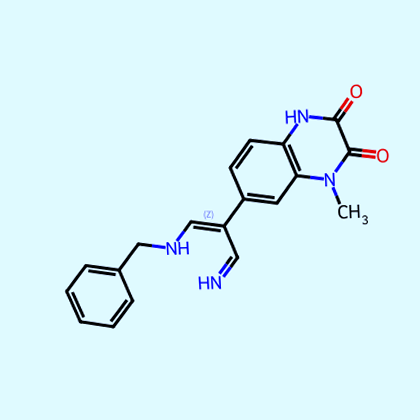 Cn1c(=O)c(=O)[nH]c2ccc(/C(C=N)=C/NCc3ccccc3)cc21